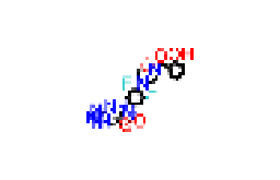 Nc1nnnn1C[C@H]1CN(c2cc(F)c(N3CCON(C(=O)c4ccccc4O)CC3)c(F)c2)C(=O)O1